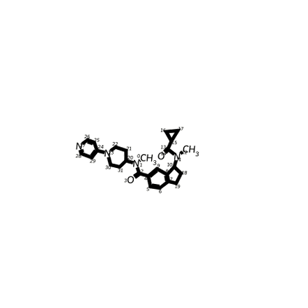 CN(C(=O)c1ccc2c(c1)C(N(C)C(=O)C1CC1)CC2)C1CCN(c2ccncc2)CC1